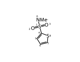 C[N]S(=O)(=O)c1cccs1